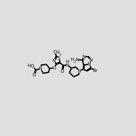 Cc1nc(OC2CCN(C(=O)O)CC2)c(C(=O)NC2CCCN(c3cc(Br)n4ncnc(N)c34)C2)s1